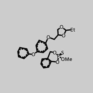 CCC1OCC(COc2ccc(Oc3ccccc3)cc2)O1.COP1(=S)OCc2ccccc2O1